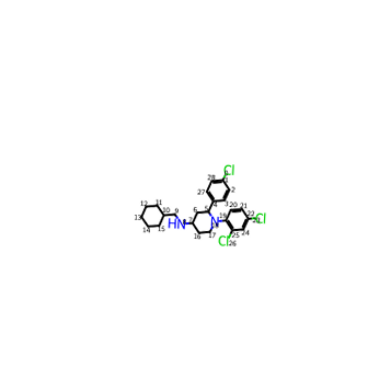 Clc1ccc(C2CC(NCC3CCCCC3)CCN2c2ccc(Cl)cc2Cl)cc1